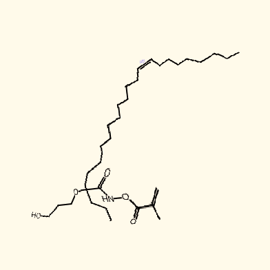 C=C(C)C(=O)ONC(=O)C(CCC)(CCCCCCCCCC/C=C\CCCCCCCC)OCCCO